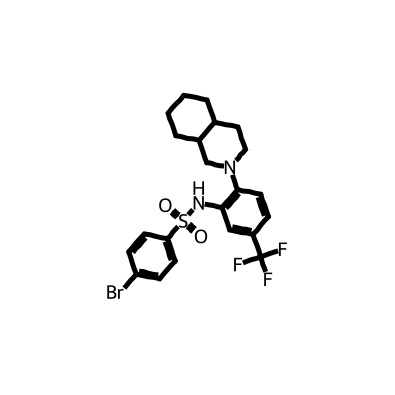 O=S(=O)(Nc1cc(C(F)(F)F)ccc1N1CCC2CCCCC2C1)c1ccc(Br)cc1